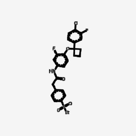 CCS(=O)(=O)c1ccc(CC(=O)Nc2ccc(OC3(c4ccc(Cl)c(F)c4)CCC3)c(F)c2)cc1